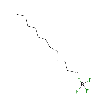 F[B-](F)(F)F.[CH2]CCCCCCCCCCC